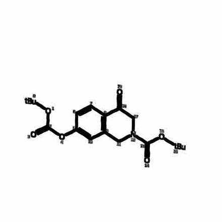 CC(C)(C)OC(=O)Oc1ccc2c(c1)CN(C(=O)OC(C)(C)C)CC2=O